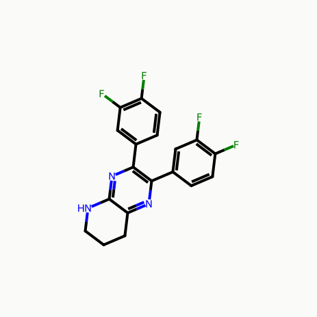 Fc1ccc(-c2nc3c(nc2-c2ccc(F)c(F)c2)NCCC3)cc1F